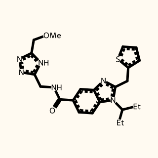 CCC(CC)n1c(Cc2cccs2)nc2cc(C(=O)NCc3nnc(COC)[nH]3)ccc21